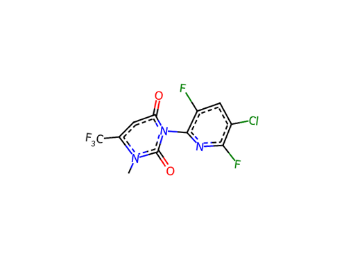 Cn1c(C(F)(F)F)cc(=O)n(-c2nc(F)c(Cl)cc2F)c1=O